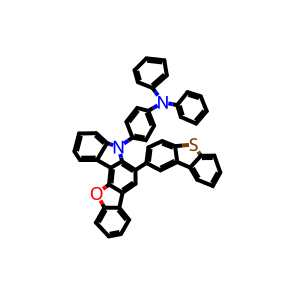 c1ccc(N(c2ccccc2)c2ccc(-n3c4ccccc4c4c5oc6ccccc6c5cc(-c5ccc6sc7ccccc7c6c5)c43)cc2)cc1